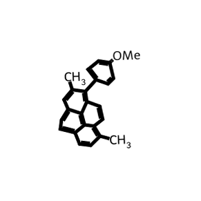 COc1ccc(-c2c(C)cc3ccc4ccc(C)c5ccc2c3c45)cc1